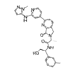 Cc1cccc([C@@H](CO)NC(=O)[C@@H](C)N2Cc3ccc(-c4ccnc(Nc5ccnn5C)c4)nc3C2=O)c1